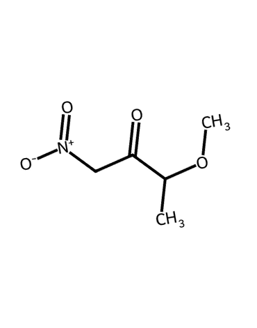 COC(C)C(=O)C[N+](=O)[O-]